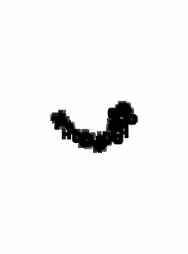 O=C(NCc1cnc(-c2ccc(OCCCNCC(F)(F)F)cc2)s1)c1ccc2c(c1)NC(=O)c1ccccc1[S+]2[O-]